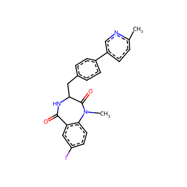 Cc1ccc(-c2ccc(CC3NC(=O)c4cc(I)ccc4N(C)C3=O)cc2)cn1